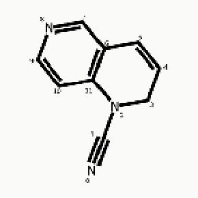 N#CN1CC=Cc2cnccc21